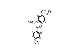 CCOC(=O)c1ccc(OCc2ccc(C#N)cc2)c(OC)c1